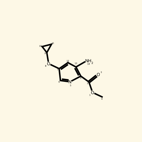 COC(=O)c1ncc(OC2CC2)cc1N